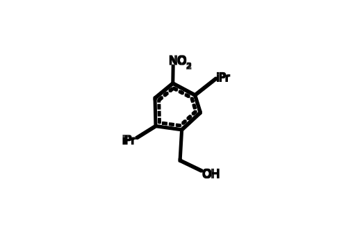 CC(C)c1cc([N+](=O)[O-])c(C(C)C)cc1CO